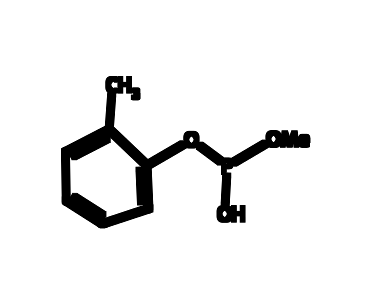 COP(O)Oc1ccccc1C